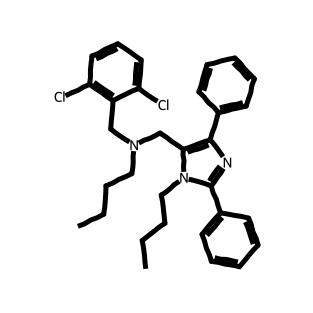 CCCCN(Cc1c(Cl)cccc1Cl)Cc1c(-c2ccccc2)nc(-c2ccccc2)n1CCCC